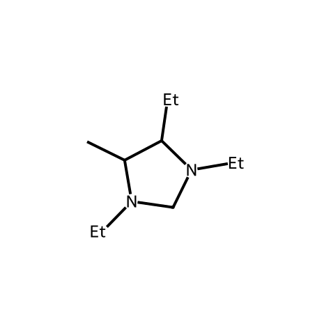 CCC1C(C)N(CC)CN1CC